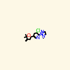 C=C1CC(C2=CN=C(N3N=CCN3C)C(Cl)C2)OC1(C)C